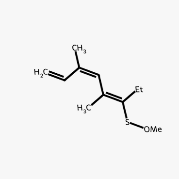 C=C/C(C)=C\C(C)=C(/CC)SOC